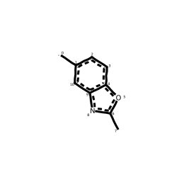 [CH2]c1ccc2oc(C)nc2c1